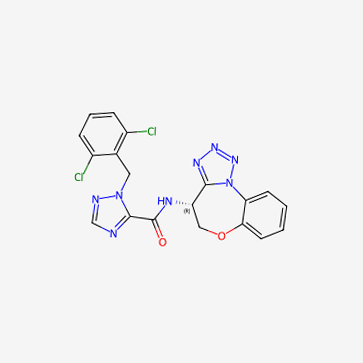 O=C(N[C@H]1COc2ccccc2-n2nnnc21)c1ncnn1Cc1c(Cl)cccc1Cl